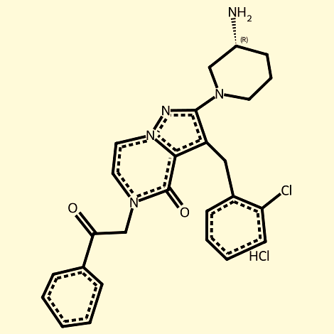 Cl.N[C@@H]1CCCN(c2nn3ccn(CC(=O)c4ccccc4)c(=O)c3c2Cc2ccccc2Cl)C1